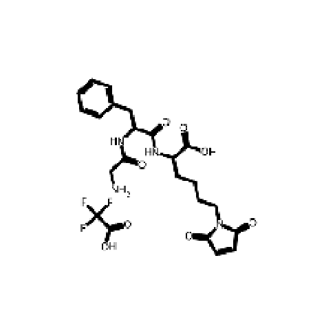 NCC(=O)NC(Cc1ccccc1)C(=O)NC(CCCCN1C(=O)C=CC1=O)C(=O)O.O=C(O)C(F)(F)F